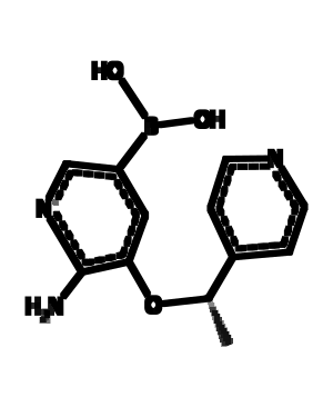 C[C@H](Oc1cc(B(O)O)cnc1N)c1ccncc1